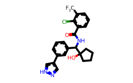 O=C(NC(c1cccc(-c2cn[nH]c2)c1)C1(O)CCCC1)c1cccc(C(F)(F)F)c1Cl